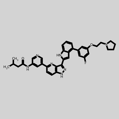 CC(C)CC(=O)Nc1cncc(-c2ccc3[nH]nc(-c4cc5c(-c6cc(F)cc(OCCN7CCCC7)c6)cccc5[nH]4)c3n2)c1